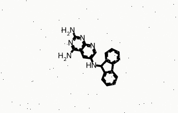 Nc1nc(N)c2cc(NC3c4ccccc4-c4ccccc43)cnc2n1